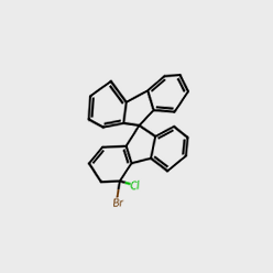 ClC1(Br)CC=CC2=C1c1ccccc1C21c2ccccc2-c2ccccc21